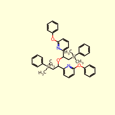 C[Si](C)(CC(OC(C[Si](C)(C)c1ccccc1)c1cccc(Oc2ccccc2)n1)c1cccc(Oc2ccccc2)n1)c1ccccc1